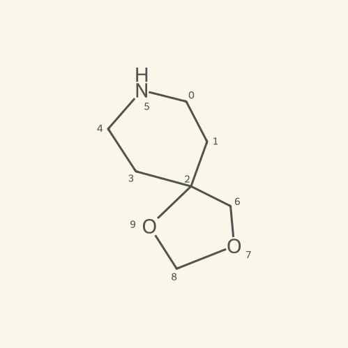 C1CC2(CCN1)COCO2